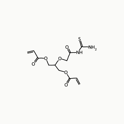 C=CC(=O)OCC(COC(=O)C=C)OCC(=O)NC(N)=S